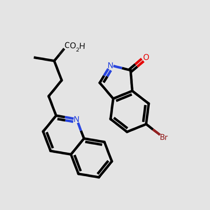 CC(CCc1ccc2ccccc2n1)C(=O)O.O=C1N=Cc2ccc(Br)cc21